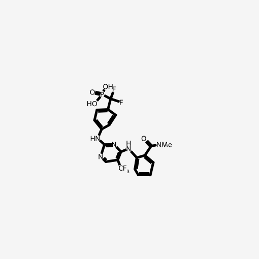 CNC(=O)c1ccccc1Nc1nc(Nc2ccc(C(F)(F)P(=O)(O)O)cc2)ncc1C(F)(F)F